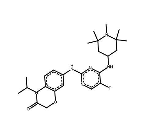 CC(C)N1C(=O)COc2cc(Nc3ncc(F)c(NC4CC(C)(C)N(C)C(C)(C)C4)n3)ccc21